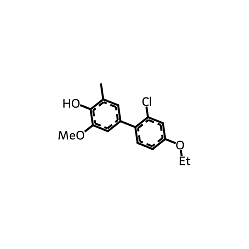 CCOc1ccc(-c2cc(C)c(O)c(OC)c2)c(Cl)c1